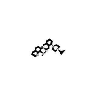 CN(C[C@H]1Cc2c(cccc2N2CCN(C3CC3)CC2)CN1)C1CCCc2cccnc21